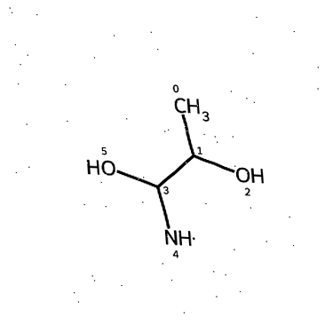 CC(O)C([NH])O